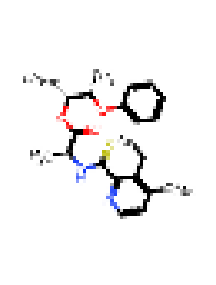 CCCCC[C@@H](OC(=O)[C@H](C)NC(=S)c1nccc(OC)c1CC(C)=O)[C@H](C)Oc1ccccc1